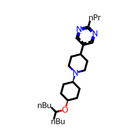 CCCCC(CCCC)O[C@H]1CC[C@@H](N2CCC(c3cnc(CCC)nc3)CC2)CC1